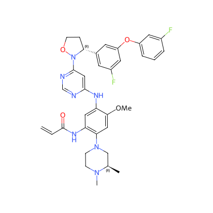 C=CC(=O)Nc1cc(Nc2cc(N3OCC[C@@H]3c3cc(F)cc(Oc4cccc(F)c4)c3)ncn2)c(OC)cc1N1CCN(C)[C@H](C)C1